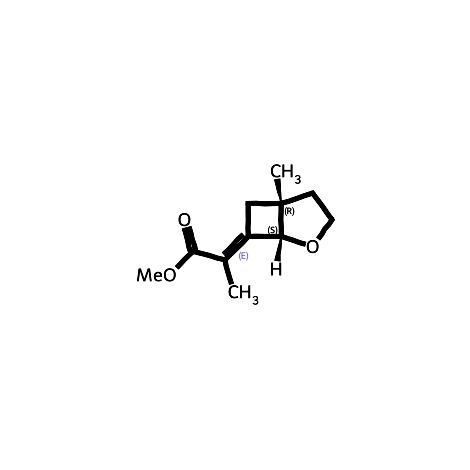 COC(=O)/C(C)=C1\C[C@]2(C)CCO[C@H]12